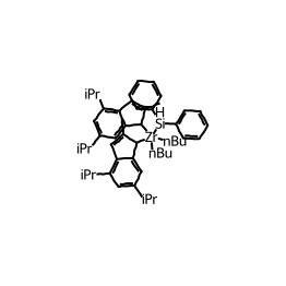 CCC[CH2][Zr]([CH2]CCC)([CH]1C(C)=Cc2c(C(C)C)cc(C(C)C)cc21)([CH]1C(C)=Cc2c(C(C)C)cc(C(C)C)cc21)[SiH](c1ccccc1)c1ccccc1